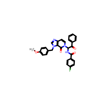 COc1ccc(Cn2cnc3ccn(C(NC(=O)c4ccc(F)cc4)C(=O)c4ccccc4)c(=O)c32)cc1